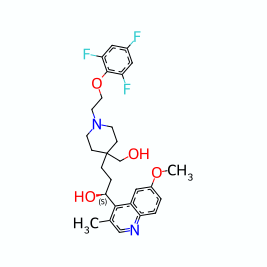 COc1ccc2ncc(C)c([C@@H](O)CCC3(CO)CCN(CCOc4c(F)cc(F)cc4F)CC3)c2c1